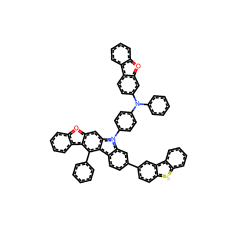 c1ccc(-c2c3c(cc4c2c2ccc(-c5ccc6sc7ccccc7c6c5)cc2n4-c2ccc(N(c4ccccc4)c4ccc5c(c4)oc4ccccc45)cc2)oc2ccccc23)cc1